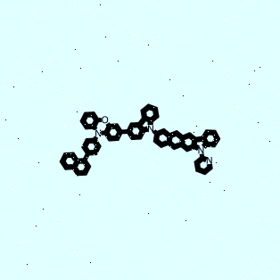 c1ccc(-n2c3ccccc3c3cc4cc5cc(-n6c7ccccc7c7cc(-c8ccc9c(c8)Oc8ccccc8N9c8ccc(-c9cccc%10ccccc9%10)cc8)ccc76)ccc5cc4cc32)nc1